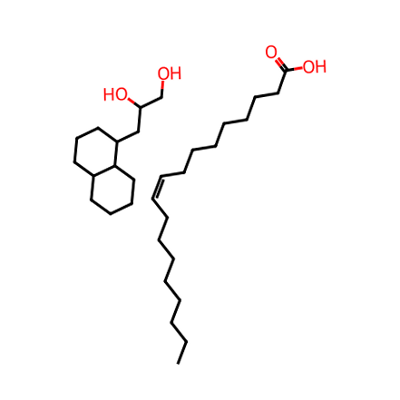 CCCCCCCC/C=C\CCCCCCCC(=O)O.OCC(O)CC1CCCC2CCCCC21